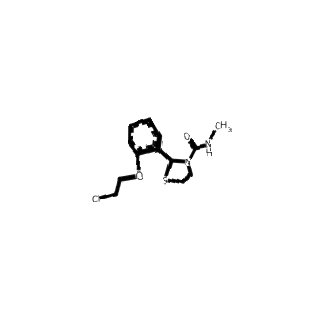 CNC(=O)N1CCSC1c1ccccc1OCCCl